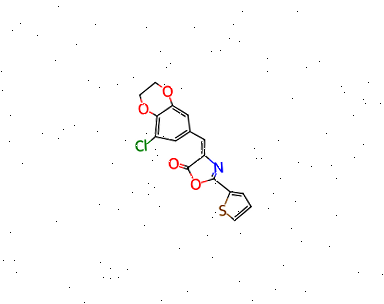 O=C1OC(c2cccs2)=N/C1=C/c1cc(Cl)c2c(c1)OCCO2